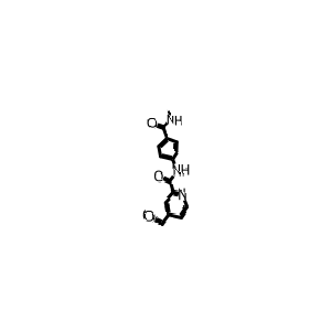 CNC(=O)c1ccc(NC(=O)c2cc(C=O)ccn2)cc1